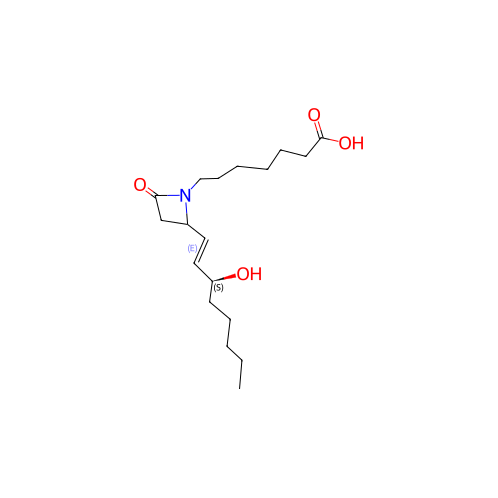 CCCCC[C@H](O)/C=C/C1CC(=O)N1CCCCCCC(=O)O